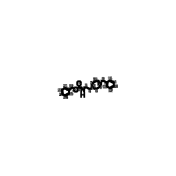 O=C(NCCN1CCN(Cc2ccccc2)CC1)OCc1ccccc1